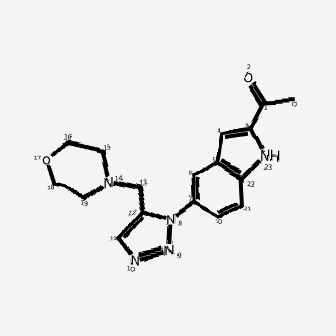 CC(=O)c1cc2cc(-n3nncc3CN3CCOCC3)ccc2[nH]1